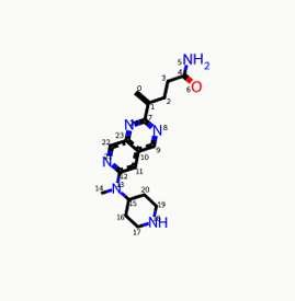 C=C(CCC(N)=O)c1ncc2cc(N(C)C3CCNCC3)ncc2n1